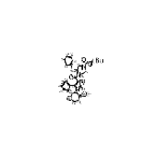 CC(C)(C)OC(=O)N1CCN(C(=O)c2ncn([C@H]3COCC[C@@H]3O)c2-c2ccccc2)[C@H](Cc2ccccc2)C1